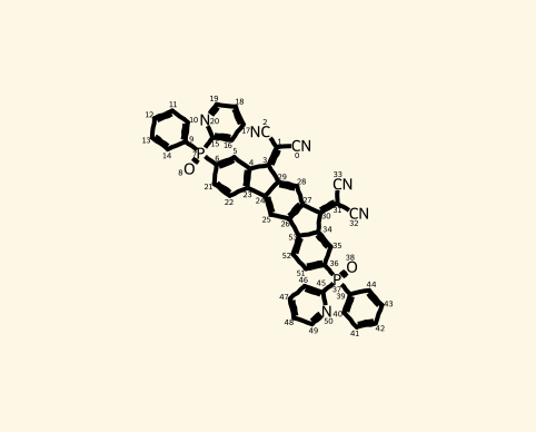 N#CC(C#N)=C1c2cc(P(=O)(c3ccccc3)c3ccccn3)ccc2-c2cc3c(cc21)C(=C(C#N)C#N)c1cc(P(=O)(c2ccccc2)c2ccccn2)ccc1-3